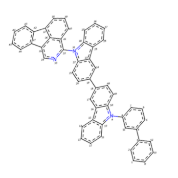 c1ccc(-c2cccc(-n3c4ccccc4c4cc(-c5ccc6c(c5)c5ccccc5n6-c5ncc6c7c(cccc57)-c5ccccc5-6)ccc43)c2)cc1